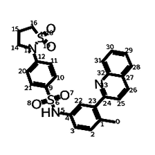 Cc1ccc(NS(=O)(=O)c2ccc(N3CCCS3(=O)=O)cc2)cc1-c1ccc2ccccc2n1